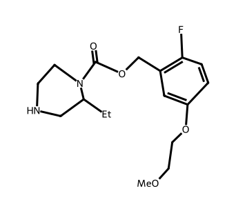 CCC1CNCCN1C(=O)OCc1cc(OCCOC)ccc1F